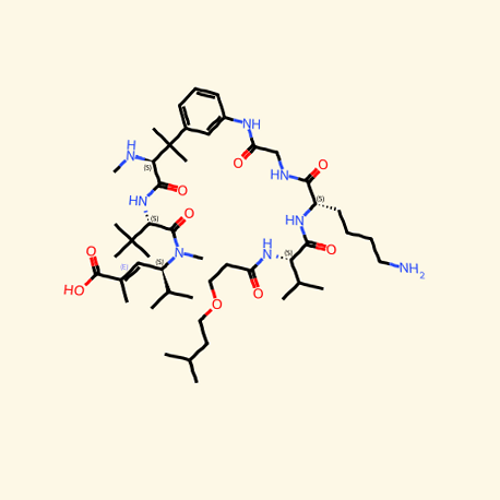 CN[C@H](C(=O)N[C@H](C(=O)N(C)[C@H](/C=C(\C)C(=O)O)C(C)C)C(C)(C)C)C(C)(C)c1cccc(NC(=O)CNC(=O)[C@H](CCCCN)NC(=O)[C@@H](NC(=O)CCOCCC(C)C)C(C)C)c1